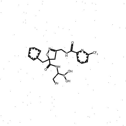 CC(C)CC(NC(=O)C1(Cc2ccccc2)CC(CNC(=O)c2cccc(C(F)(F)F)n2)=NO1)B(O)O